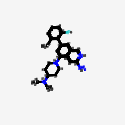 Cc1cccc(F)c1-c1cc(N2CCC(N(C)C)CC2)c2cc(N)ncc2c1